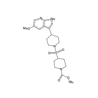 COc1cnc2[nH]cc(C3CCN(S(=O)(=O)C4CCN(C(=O)OC(C)(C)C)CC4)CC3)c2c1